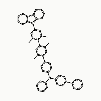 Cc1cc(-c2c(C)cc(-n3c4ccccc4c4ccccc43)cc2C)c(C)cc1-c1ccc(N(c2ccccc2)c2ccc(-c3ccccc3)cc2)cc1